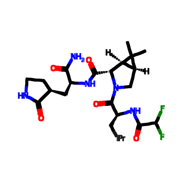 CC(C)C[C@H](NC(=O)C(F)F)C(=O)N1C[C@H]2[C@@H]([C@H]1C(=O)N[C@@H](C[C@@H]1CCNC1=O)C(N)=O)C2(C)C